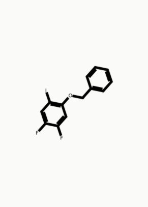 Fc1cc(I)c(OCc2ccccc2)cc1F